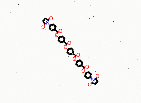 O=C(Oc1ccc(C(=O)Oc2ccc(N3C(=O)C=CC3=O)cc2)cc1)c1ccc(OC(=O)c2ccc(OC(=O)c3ccc(N4C(=O)C=CC4=O)cc3)cc2)cc1